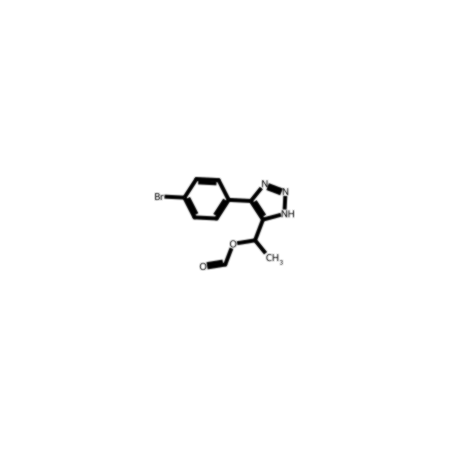 CC(OC=O)c1[nH]nnc1-c1ccc(Br)cc1